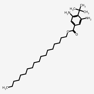 CCCCCCCCCCCCCCCCCCOC(=O)c1cc(N)c(C(C)(C)C)c(N)c1